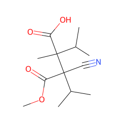 COC(=O)C(C#N)(C(C)C)C(C)(C(=O)O)C(C)C